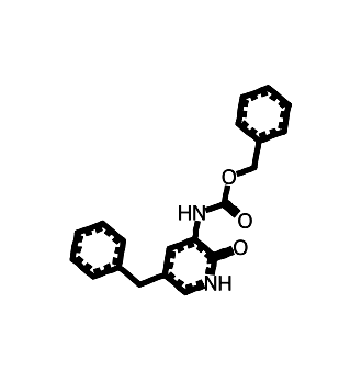 O=C(Nc1cc(Cc2ccccc2)c[nH]c1=O)OCc1ccccc1